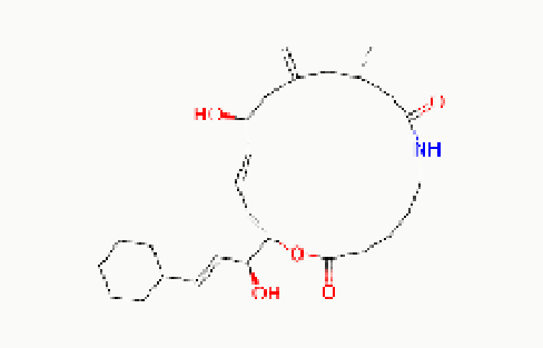 C=C1C[C@H](C)CC(=O)NCCCCC(=O)O[C@H]([C@@H](O)/C=C/C2CCCCC2)C/C=C/[C@@H](O)C1